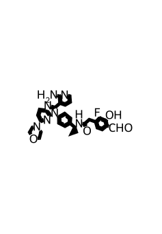 Nc1ncccc1-c1nc2ccc(N3CCOCC3)nc2n1-c1ccc(C2(NC(=O)Cc3ccc(C=O)c(O)c3F)CC2)cc1